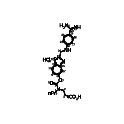 CCCN(CCC(=O)O)C(=O)Oc1ccc2sc(CNc3ccc(C(=N)N)cc3)nc2c1.Cl